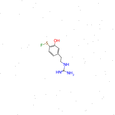 N=C(N)NCCc1ccc(SF)c(O)c1